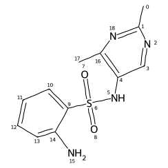 Cc1ncc(NS(=O)(=O)c2ccccc2N)c(C)n1